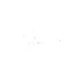 CC1OC(OC2C(CO)OC(OCc3ccccc3)C(O)C2O)C(O)C(O)C1NC1C=C(CO)C(O)C(O)C1O